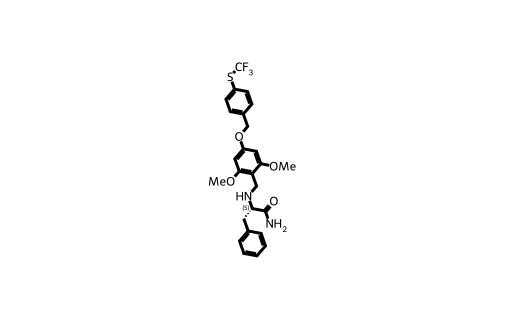 COc1cc(OCc2ccc(SC(F)(F)F)cc2)cc(OC)c1CN[C@@H](Cc1ccccc1)C(N)=O